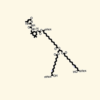 CCCCCCC(O)C/C=C/CCCCCCCC(=O)OCC(COC(=O)CCCCCCC/C=C/CC(O)CCCCCC)OC(=O)CCCCCCCCCCC(CCCCCC)OC(=O)NC1CC(C)(C)CC(C)(CNC(=O)Nc2nc(=O)cc(C)[nH]2)C1